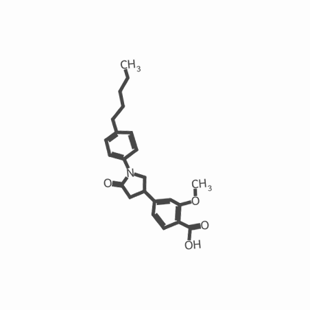 CCCCCc1ccc(N2CC(c3ccc(C(=O)O)c(OC)c3)CC2=O)cc1